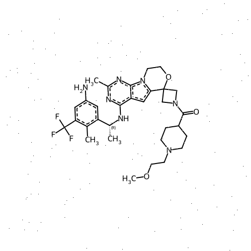 COCCN1CCC(C(=O)N2CC3(C2)OCCn2c3cc3c(N[C@H](C)c4cc(N)cc(C(F)(F)F)c4C)nc(C)nc32)CC1